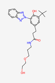 CC(C)(C)c1cc(CCC(=O)NCCCOCCO)cc(-n2nc3ccccc3n2)c1O